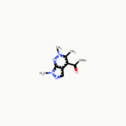 COC(=O)c1c(C)[n+](C)nc2c1cnn2C